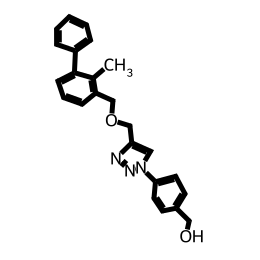 Cc1c(COCc2cn(-c3ccc(CO)cc3)nn2)cccc1-c1ccccc1